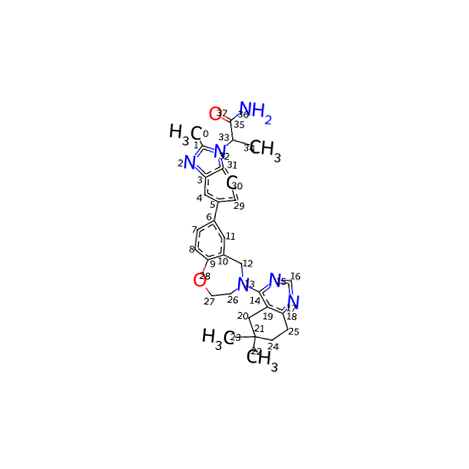 Cc1nc2cc(-c3ccc4c(c3)CN(c3ncnc5c3CC(C)(C)CC5)CCO4)ccc2n1C(C)C(N)=O